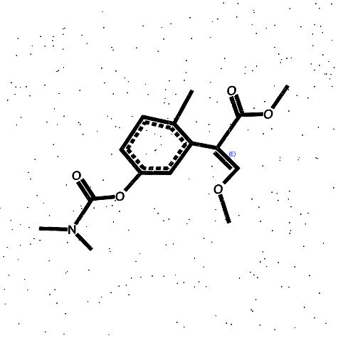 CO/C=C(/C(=O)OC)c1cc(OC(=O)N(C)C)ccc1C